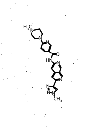 CN1CCN(c2ccc(C(=O)Nc3cc4cc(-c5cn(C)nn5)ncc4cn3)cn2)CC1